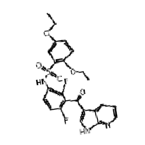 CCOc1ccc(OCC)c(S(=O)(=O)Nc2ccc(F)c(C(=O)c3c[nH]c4ncccc34)c2F)c1